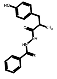 CC(Cc1ccc(O)cc1)C(=O)NNC(=S)c1ccccc1